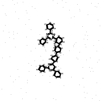 c1ccc(-c2cc(-c3ccc(-c4ccc5c(c4)sc4c(-c6nc(-c7ccccc7)nc(-c7ccccc7)n6)cccc45)cc3)nc(-c3ccccc3)n2)cc1